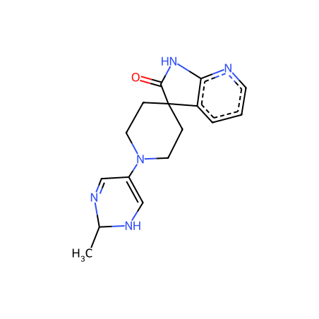 CC1N=CC(N2CCC3(CC2)C(=O)Nc2ncccc23)=CN1